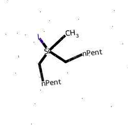 CCCCCC[Si](C)(I)CCCCCC